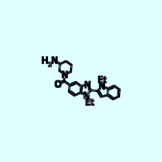 CCn1c(-c2nc3cc(C(=O)N4CCCC(N)C4)ccc3n2CC)cc2ccccc21